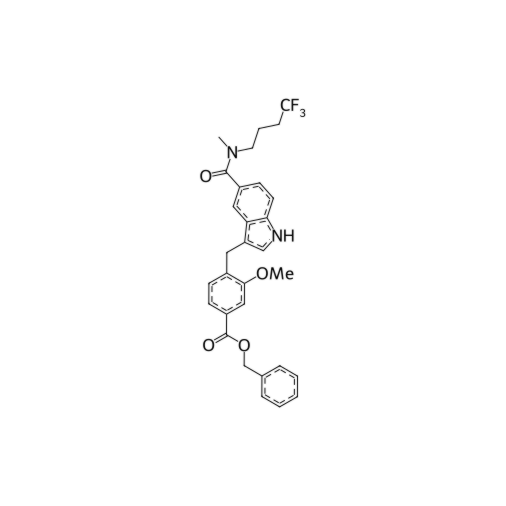 COc1cc(C(=O)OCc2ccccc2)ccc1Cc1c[nH]c2ccc(C(=O)N(C)CCCC(F)(F)F)cc12